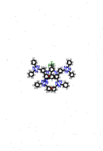 N#Cc1cccc(-c2c(-n3c4ccc(-c5nc(-c6ccccc6)nc(-c6ccccc6)n5)cc4c4cc(-c5nc(-c6ccccc6)nc(-c6ccccc6)n5)ccc43)cc(C(F)(F)F)cc2-n2c3ccc(-c4nc(-c5ccccc5)nc(-c5ccccc5)n4)cc3c3cc(-c4nc(-c5ccccc5)nc(-c5ccccc5)n4)ccc32)c1